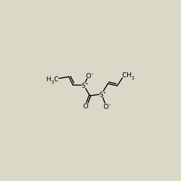 CC=C[S+]([O-])C(=O)[S+]([O-])C=CC